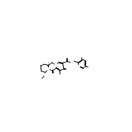 CC[C@@H]1CCC[C@@H]2Cn3cc(C(=O)NCc4ncc(F)cc4F)c(=O)c(O)c3C(=O)N12